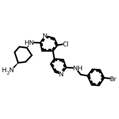 N[C@H]1CC[C@H](Nc2cc(-c3ccnc(NCc4ccc(Br)cc4)c3)c(Cl)cn2)CC1